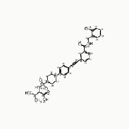 CC(C)[C@@H](NS(=O)(=O)N1CCN(c2ccc(C#Cc3ccnc(C(=O)NCc4ccccc4Cl)c3)cc2)CC1)C(=O)O